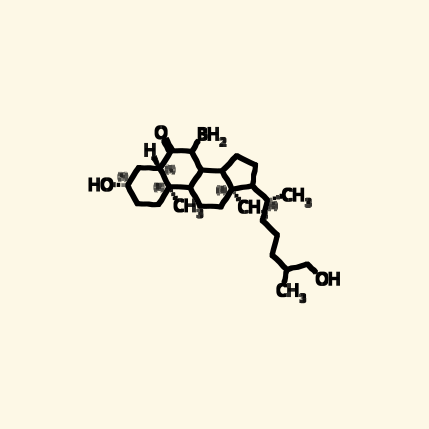 BC1C(=O)[C@H]2C[C@@H](O)CC[C@]2(C)C2CC[C@@]3(C)C(CCC3[C@H](C)CCCC(C)CO)C12